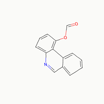 O=COc1cccc2ncc3ccccc3c12